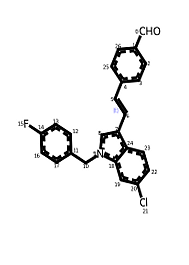 O=Cc1ccc(/C=C/c2cn(Cc3ccc(F)cc3)c3cc(Cl)ccc23)cc1